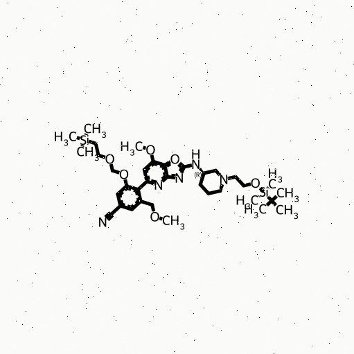 COCc1cc(C#N)cc(OCOCC[Si](C)(C)C)c1-c1cc(OC)c2oc(N[C@@H]3CCCN(CCO[Si](C)(C)C(C)(C)C)C3)nc2n1